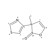 CC1(c2cscn2)C=COC1=O